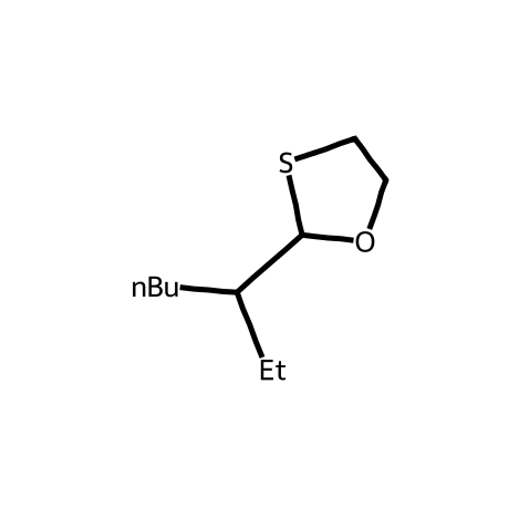 CCCCC(CC)C1OCCS1